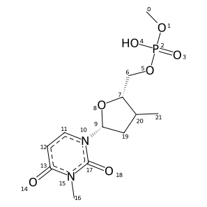 COP(=O)(O)OC[C@H]1O[C@@H](n2ccc(=O)n(C)c2=O)CC1C